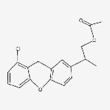 CC(=O)OCC(C)c1ccc2c(c1)Cc1c(Cl)cccc1O2